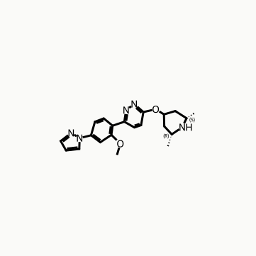 COc1cc(-n2cccn2)ccc1-c1ccc(OC2C[C@@H](C)N[C@@H](C)C2)nn1